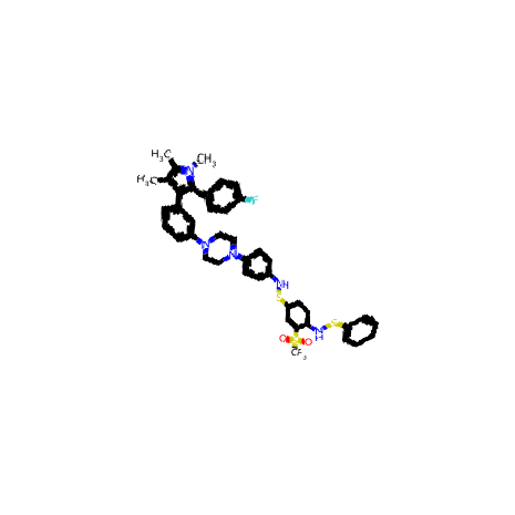 Cc1c(-c2cccc(N3CCN(c4ccc(NSC5C=C(S(=O)(=O)C(F)(F)F)C(NSC6=CCCC=C6)CC5)cc4)CC3)c2)c(-c2ccc(F)cc2)n(C)c1C